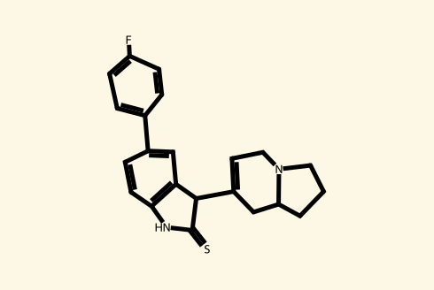 Fc1ccc(-c2ccc3c(c2)C(C2=CCN4CCCC4C2)C(=S)N3)cc1